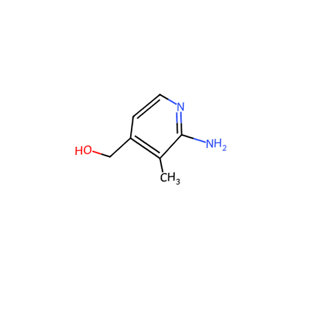 Cc1c(CO)ccnc1N